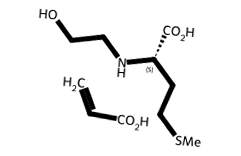 C=CC(=O)O.CSCC[C@H](NCCO)C(=O)O